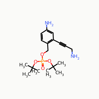 CC(C)(C)OP(=O)(OCc1ccc(N)cc1C#CCN)OC(C)(C)C